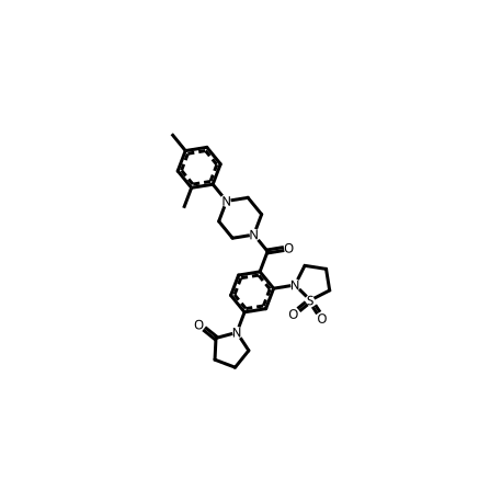 Cc1ccc(N2CCN(C(=O)c3ccc(N4CCCC4=O)cc3N3CCCS3(=O)=O)CC2)c(C)c1